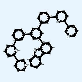 c1cncc(-c2cccc(-c3cccc(-c4cc(-c5cccc(-c6cccc(-c7cccnc7)n6)c5)cc(-c5cccc6c5oc5ccccc56)c4)c3)n2)c1